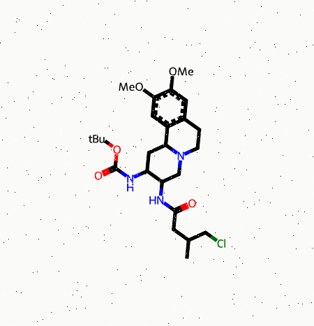 COc1cc2c(cc1OC)C1CC(NC(=O)OC(C)(C)C)C(NC(=O)CC(C)CCl)CN1CC2